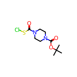 CC(C)(C)OC(=O)N1CCN(C(=O)SCl)CC1